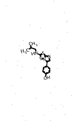 CC(C)CNc1nn2c(-c3ccc(O)cc3)cnc2s1